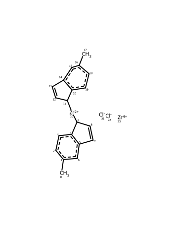 Cc1ccc2c(c1)C=C[CH]2[Zr+2][CH]1C=Cc2cc(C)ccc21.[Cl-].[Cl-].[Zr+4]